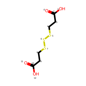 O=C(O)CCSSSCCC(=O)O